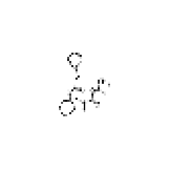 CC(Cl)OC(=O)NCC1(OC(=O)CCc2ccccc2)CCCCC1